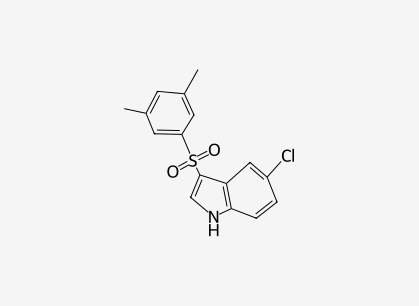 Cc1cc(C)cc(S(=O)(=O)c2c[nH]c3ccc(Cl)cc23)c1